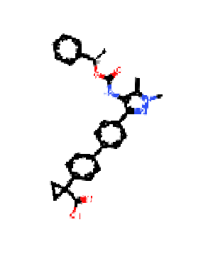 Cc1c(NC(=O)O[C@H](C)c2ccccc2)c(-c2ccc(-c3ccc(C4(C(=O)O)CC4)cc3)cc2)nn1C